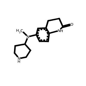 CN(c1ccc2c(c1)CCC(=O)N2)C1CCNCC1